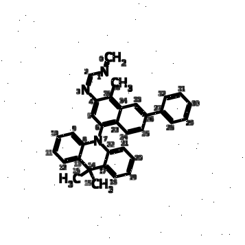 C=N/C=N\c1cc(N2c3ccccc3C(C)(C)c3ccccc32)c2ccc(-c3ccccc3)cc2c1C